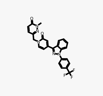 Cn1nc(Cn2ccc(-c3nn(-c4ccc(C(F)(F)F)cc4)c4ccccc34)cc2=O)ccc1=O